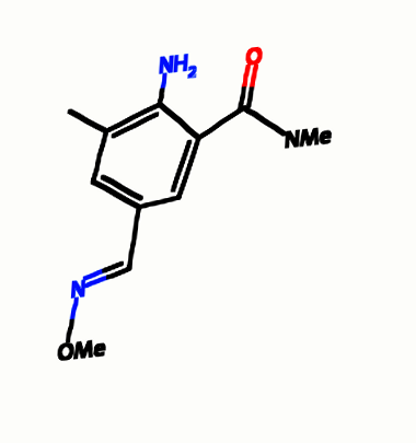 CNC(=O)c1cc(C=NOC)cc(C)c1N